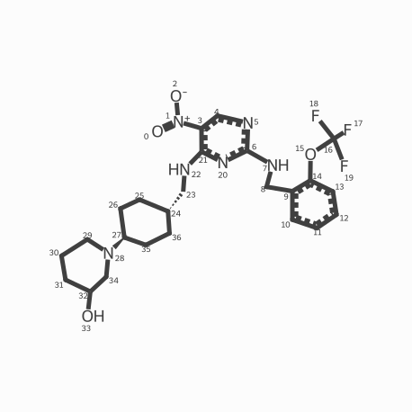 O=[N+]([O-])c1cnc(NCc2ccccc2OC(F)(F)F)nc1NC[C@H]1CC[C@H](N2CCCC(O)C2)CC1